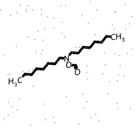 CCCCCCCCN(CCCCCCCC)OC=O